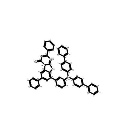 O=c1nc(-c2ccccc2)nc2sc3c(-c4cccc(N(c5ccc(-c6ccccc6)cc5)c5ccc(-c6ccccc6)cc5)c4)cc(-c4ccccc4)cc3n12